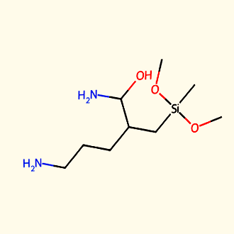 CO[Si](C)(CC(CCCN)C(N)O)OC